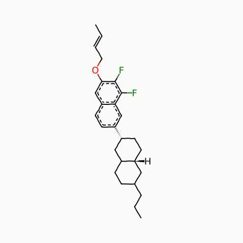 C/C=C/COc1cc2ccc([C@@H]3CC[C@@H]4CC(CCC)CCC4C3)cc2c(F)c1F